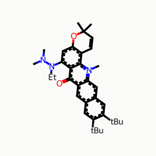 CCN(c1cc2c(c3c1c(=O)c1cc4cc(C(C)(C)C)c(C(C)(C)C)cc4cc1n3C)C=CC(C)(C)O2)N(C)C